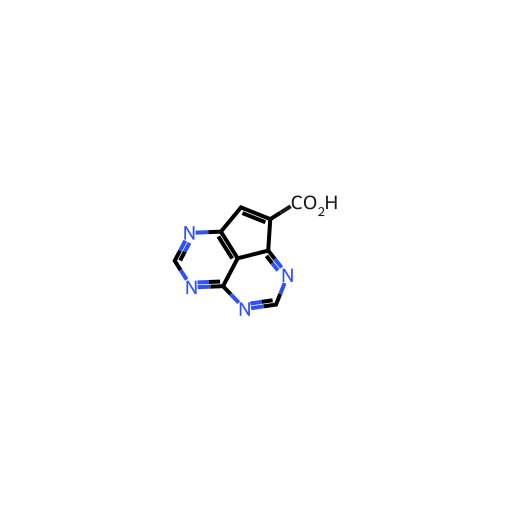 O=C(O)C1=Cc2ncnc3ncnc1c23